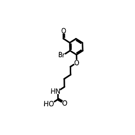 O=Cc1cccc(OCCCCNC(=O)O)c1Br